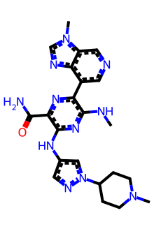 CNc1nc(Nc2cnn(C3CCN(C)CC3)c2)c(C(N)=O)nc1-c1cncc2c1ncn2C